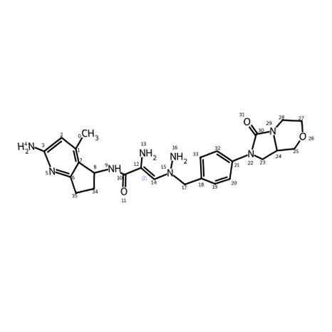 Cc1cc(N)nc2c1C(NC(=O)/C(N)=C/N(N)Cc1ccc(N3CC4COCCN4C3=O)cc1)CC2